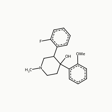 COc1ccccc1C1(O)CCN(C)CC1c1ccccc1F